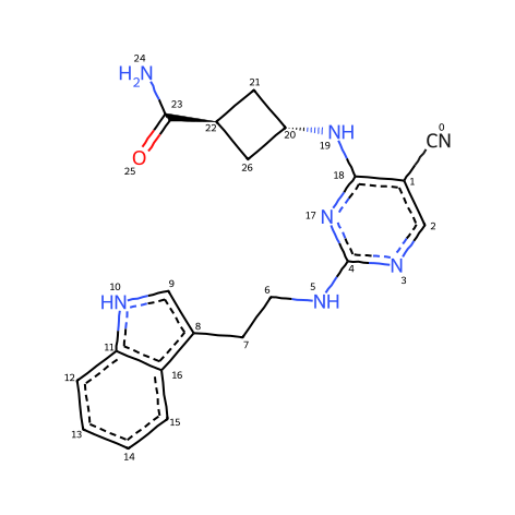 N#Cc1cnc(NCCc2c[nH]c3ccccc23)nc1N[C@H]1C[C@H](C(N)=O)C1